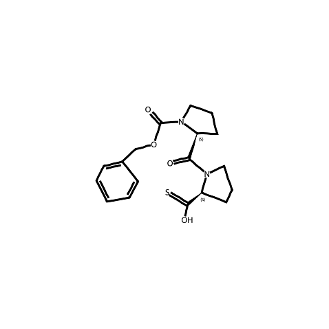 O=C(OCc1ccccc1)N1CCC[C@H]1C(=O)N1CCC[C@H]1C(O)=S